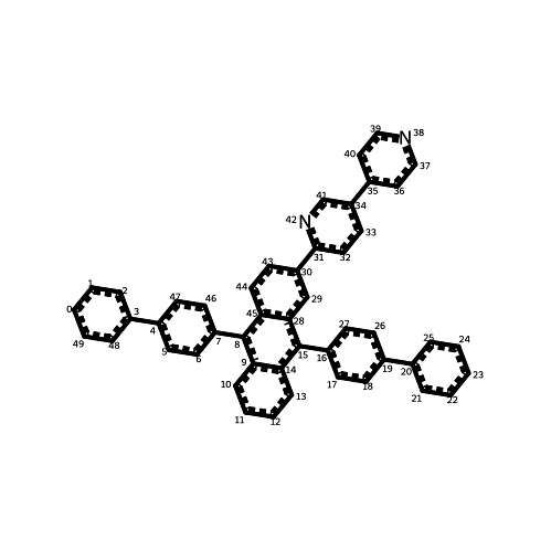 c1ccc(-c2ccc(-c3c4ccccc4c(-c4ccc(-c5ccccc5)cc4)c4cc(-c5ccc(-c6ccncc6)cn5)ccc34)cc2)cc1